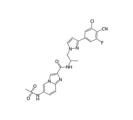 CC(Cn1ccc(-c2cc(F)c(C#N)c(Cl)c2)n1)NC(=O)c1cn2cc(NS(C)(=O)=O)ccc2n1